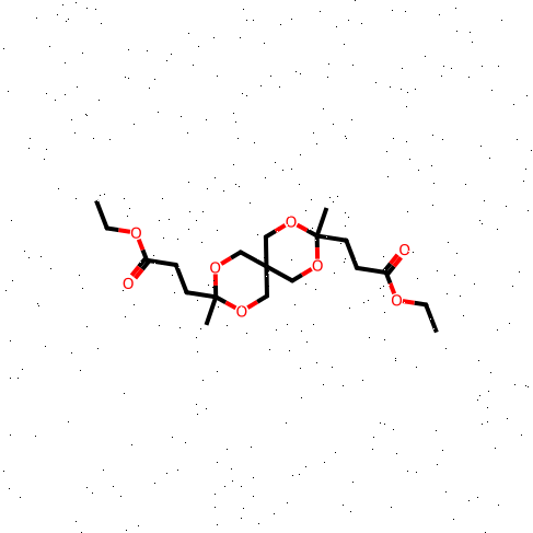 CCOC(=O)CCC1(C)OCC2(CO1)COC(C)(CCC(=O)OCC)OC2